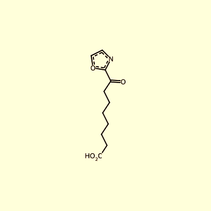 O=C(O)CCCCCCC(=O)c1ncco1